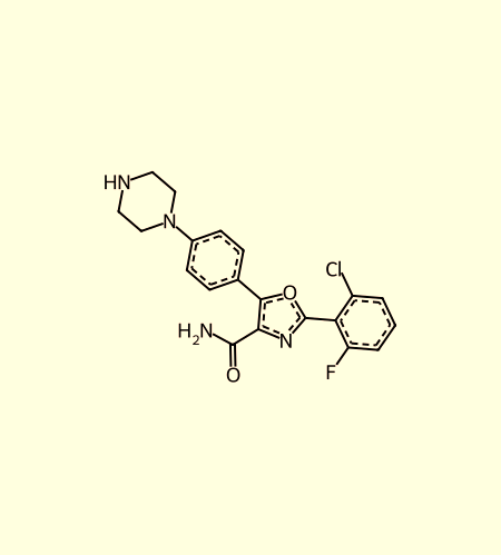 NC(=O)c1nc(-c2c(F)cccc2Cl)oc1-c1ccc(N2CCNCC2)cc1